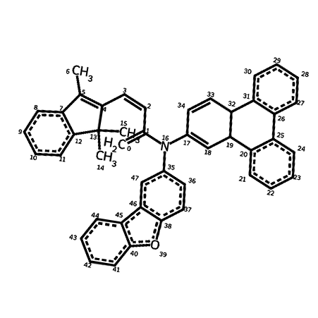 C=C(/C=C\C1=C(C)c2ccccc2C1(C)C)N(C1=CC2c3ccccc3-c3ccccc3C2C=C1)c1ccc2oc3ccccc3c2c1